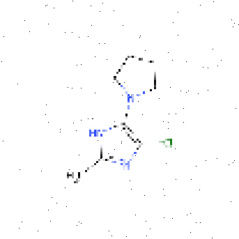 Cc1nc(Cl)c(N2CCCC2)[nH]1